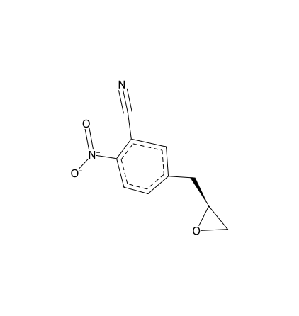 N#Cc1cc(C[C@H]2CO2)ccc1[N+](=O)[O-]